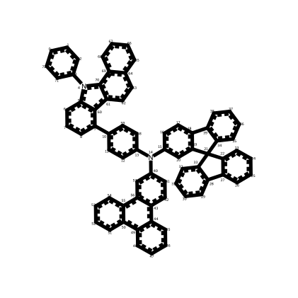 c1ccc(-n2c3cccc(-c4ccc(N(c5ccc6c(c5)C5(c7ccccc7-c7ccccc75)c5ccccc5-6)c5ccc6c7ccccc7c7ccccc7c6c5)cc4)c3c3ccc4ccccc4c32)cc1